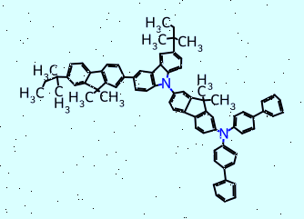 CCC(C)(C)c1ccc2c(c1)C(C)(C)c1cc(-c3ccc4c(c3)c3cc(C(C)(C)CC)ccc3n4-c3ccc4c(c3)C(C)(C)c3cc(N(c5ccc(-c6ccccc6)cc5)c5ccc(-c6ccccc6)cc5)ccc3-4)ccc1-2